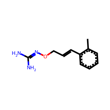 Cc1ccccc1/C=C/CON=C(N)N